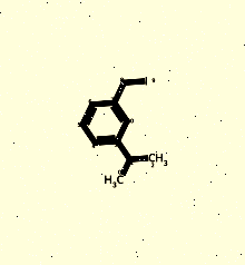 CC(C)c1cccc(CI)c1